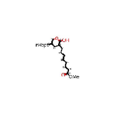 CCCCCCCC1COC(O)C(CCCCCCCC(=O)OC)C1